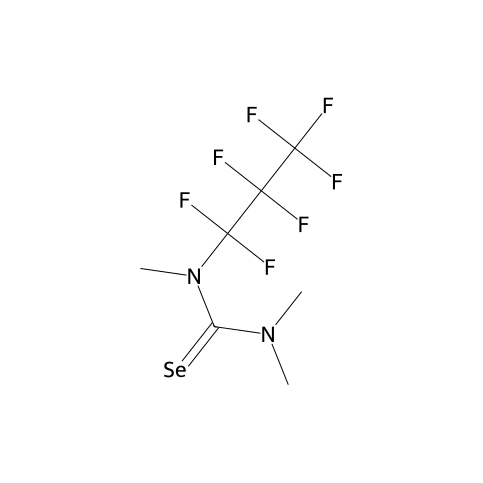 CN(C)C(=[Se])N(C)C(F)(F)C(F)(F)C(F)(F)F